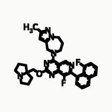 Cc1cc2n(n1)CCCN(c1nc(OCC34CCCN3CCC4)nc3c(F)c(-c4cccc5cccc(F)c45)ncc13)C2